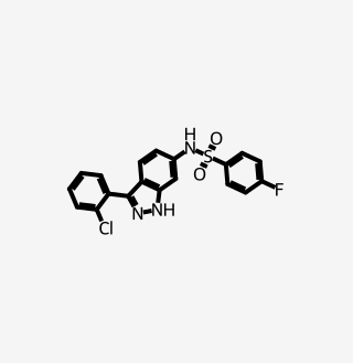 O=S(=O)(Nc1ccc2c(-c3ccccc3Cl)n[nH]c2c1)c1ccc(F)cc1